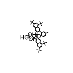 Cc1ccc(Oc2cc3c(C(C)(C)C)cc(C(C)(C)C)cc3cc2C(C)(C)C)c(-c2cc3c(C(C)(C)C)cc(C(C)(C)C)cc3cc2C(C)(C)C)c1.OP(O)O